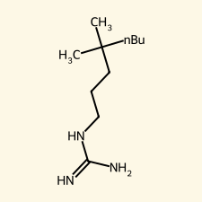 CCCCC(C)(C)CCCNC(=N)N